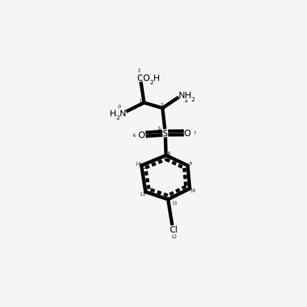 NC(C(=O)O)C(N)S(=O)(=O)c1ccc(Cl)cc1